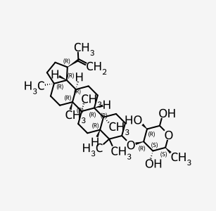 C=C(C)[C@@H]1CC[C@]2(C)CC[C@]3(C)[C@H](CC[C@@H]4[C@@]5(C)CCC(O[C@@H]6[C@@H](O)[C@H](C)OC(O)[C@@H]6O)C(C)(C)[C@@H]5CC[C@]43C)[C@@H]12